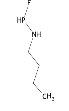 CCCCNPF